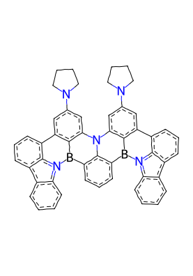 c1cc2c3c(c1)B1c4c(cc(N5CCCC5)cc4N3c3cc(N4CCCC4)cc4c3B2n2c3ccccc3c3cccc-4c32)-c2cccc3c4ccccc4n1c23